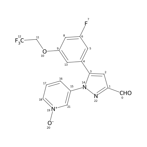 O=Cc1cc(-c2cc(F)cc(OCC(F)(F)F)c2)n(-c2ccc[n+]([O-])c2)n1